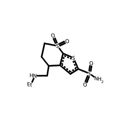 CCNCC1CCS(=O)(=O)c2sc(S(N)(=O)=O)cc21